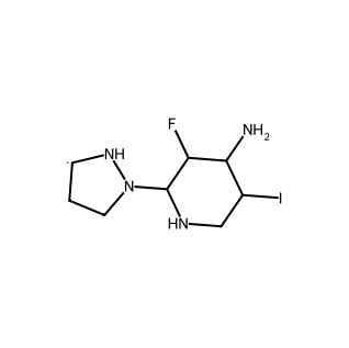 NC1C(I)CNC(N2CC[CH]N2)C1F